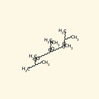 CCCCCC(CCCCC)CCOC(C)OCCCCCCCCC(CCCCCCCCOC(C)OCCC(CCCCC)CCCCC)OC(=O)CCCN(C)C